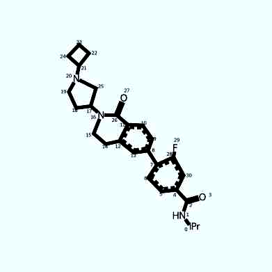 CC(C)NC(=O)c1ccc(-c2ccc3c(c2)CCN(C2CCN(C4CCC4)C2)C3=O)c(F)c1